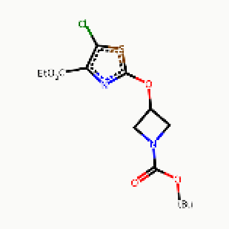 CCOC(=O)c1nc(OC2CN(C(=O)OC(C)(C)C)C2)sc1Cl